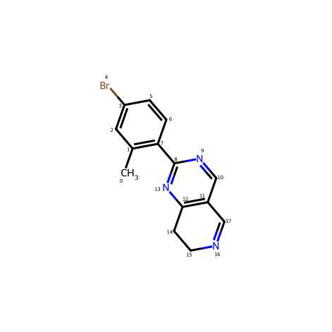 Cc1cc(Br)ccc1-c1ncc2c(n1)CCN=C2